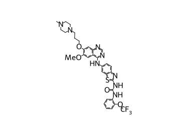 COc1cc2c(Nc3ccc4nc(NC(=O)Nc5ccccc5OC(F)(F)F)sc4c3)ncnc2cc1OCCCN1CCN(C)CC1